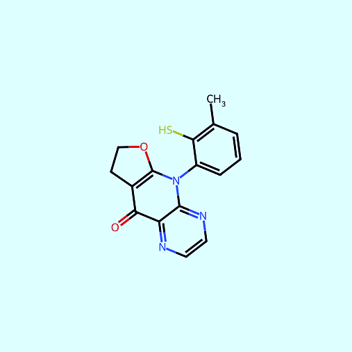 Cc1cccc(-n2c3c(c(=O)c4nccnc42)CCO3)c1S